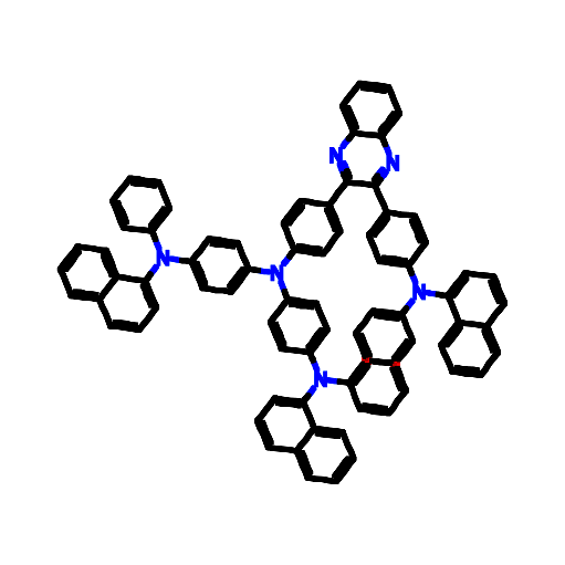 c1ccc(N(c2ccc(-c3nc4ccccc4nc3-c3ccc(N(c4ccc(N(c5ccccc5)c5cccc6ccccc56)cc4)c4ccc(N(c5ccccc5)c5cccc6ccccc56)cc4)cc3)cc2)c2cccc3ccccc23)cc1